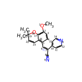 COc1ccc(/C=C(/C#N)c2ccncc2)c2c1OC(C)(C)C=C2